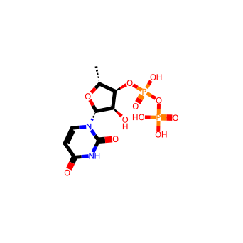 C[C@H]1O[C@@H](n2ccc(=O)[nH]c2=O)[C@H](O)[C@@H]1OP(=O)(O)OP(=O)(O)O